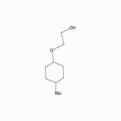 CC(C)(C)C1CCC(OCCO)CC1